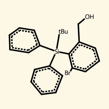 CC(C)(C)[Si](c1ccccc1)(c1ccccc1)c1c(Br)cccc1CO